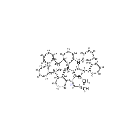 C#C/C=C\c1c2c(n(-c3ccccc3)c1C)N(c1ccccc1)c1cccc3c1B2c1c(n(-c2ccccc2)c2ccccc12)N3c1ccccc1